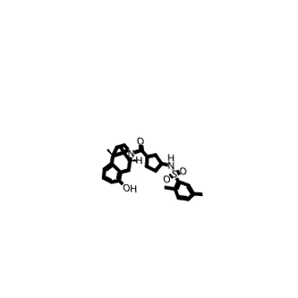 Cc1ccc(C)c(S(=O)(=O)NC2CCC(C(=O)N3CC[C@@]4(C)c5cccc(O)c5C[C@@H]3C4(C)C)C2)c1